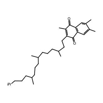 CC1=C(CCC(C)CCCC(C)CCCC(C)CCCC(C)C)C(=O)c2cc(C)c(C)cc2C1=O